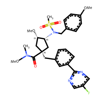 COc1ccc(CN([C@@H]2C[C@@](Cc3cccc(-c4ncc(F)cn4)c3)(C(=O)N(C)OC)C[C@@H]2OC)S(C)(=O)=O)cc1